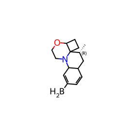 BC1=CC2C(C=C1)C[C@@H](C)C13CCC1OCCN23